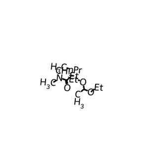 CCC(=O)N(C)C.CCCC.CCOC(C)OCC